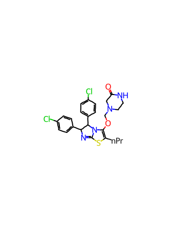 CCCC1=C(OCN2CCNC(=O)C2)N2C(=NC(c3ccc(Cl)cc3)C2c2ccc(Cl)cc2)S1